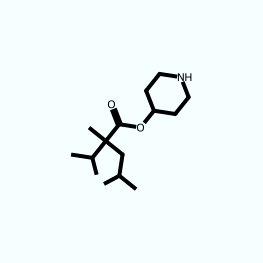 CC(C)CC(C)(C(=O)OC1CCNCC1)C(C)C